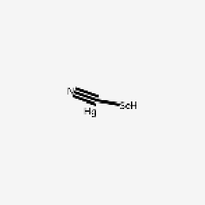 N#C[SeH].[Hg]